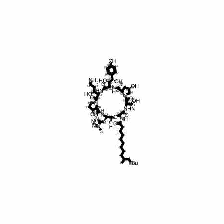 CCC(C)CC(C)CCCCCCCCC(=O)NC1C[C@@H](O)C(Sc2nnnn2C)NC(=O)[C@@H]2[C@@H](O)CCN2C(=O)C([C@H](O)CCN)NC(=O)[C@H]([C@H](O)[C@@H](O)c2ccc(O)cc2)NC(=O)C2C[C@@H](O)CN2C(=O)C([C@@H](C)O)NC1=O